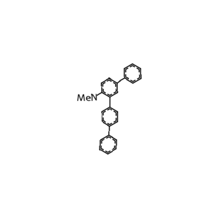 CNc1ccc(-c2ccccc2)cc1-c1ccc(-c2ccccc2)cc1